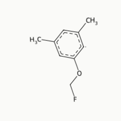 Cc1[c]c(OCF)cc(C)c1